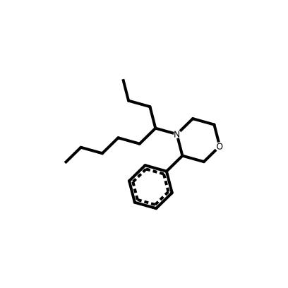 CCCCCC(CCC)N1CCOCC1c1ccccc1